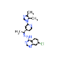 CC(=NNc1ncnc2cc(Cl)ccc12)c1ccnc(-n2cnc(C)c2C)c1